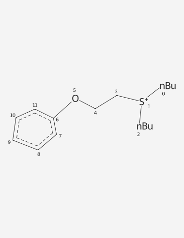 CCCC[S+](CCCC)CCOc1ccccc1